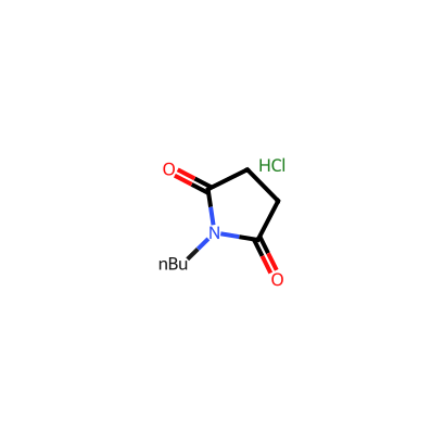 CCCCN1C(=O)CCC1=O.Cl